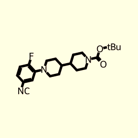 [C-]#[N+]c1ccc(F)c(N2CCC(C3CCN(C(=O)OC(C)(C)C)CC3)CC2)c1